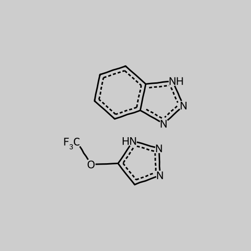 FC(F)(F)Oc1cnn[nH]1.c1ccc2[nH]nnc2c1